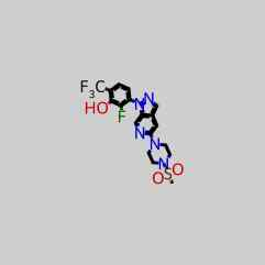 CS(=O)(=O)N1CCN(c2cc3cnn(-c4ccc(C(F)(F)F)c(O)c4F)c3cn2)CC1